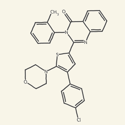 Cc1ccccc1-n1c(-c2cc(-c3ccc(Cl)cc3)c(N3CCOCC3)s2)nc2ccccc2c1=O